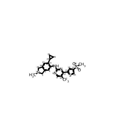 CN1Cc2cc(Nc3ncc(C(F)(F)F)c(-c4cc(S(C)(=O)=O)cs4)n3)c(C3CC3)cc2C1